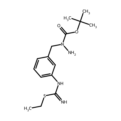 CCSC(=N)Nc1cccc(CN(N)C(=O)OC(C)(C)C)c1